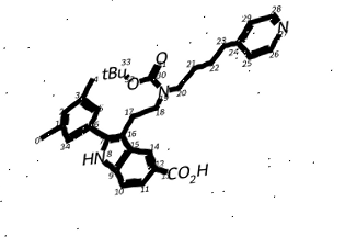 Cc1cc(C)cc(-c2[nH]c3ccc(C(=O)O)cc3c2CCN(CCCCc2ccncc2)C(=O)OC(C)(C)C)c1